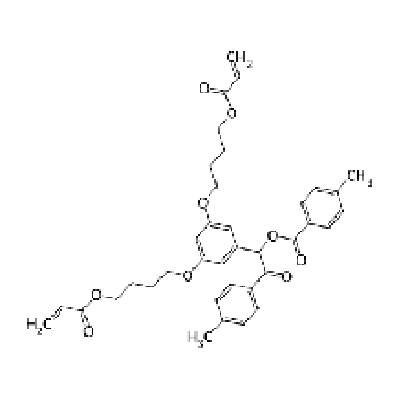 C=CC(=O)OCCCCOc1cc(OCCCCOC(=O)C=C)cc(C(OC(=O)c2ccc(C)cc2)C(=O)c2ccc(C)cc2)c1